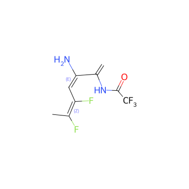 C=C(NC(=O)C(F)(F)F)/C(N)=C\C(F)=C(/C)F